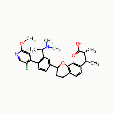 COc1cc(-c2ccc(C3CCc4ccc([C@H](C)[C@H](C)C(=O)O)cc4O3)cc2[C@@H](C)N(C)C)c(F)cn1